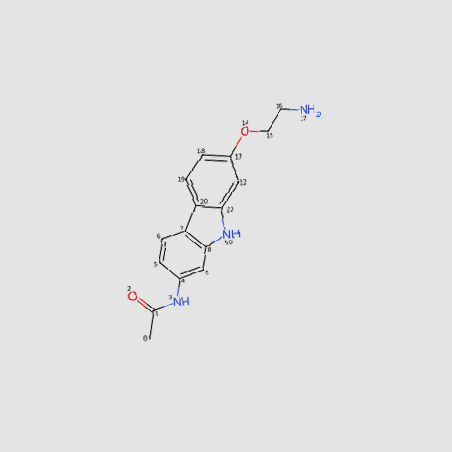 CC(=O)Nc1ccc2c(c1)[nH]c1cc(OCCN)ccc12